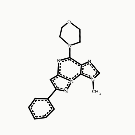 Cn1cnc2c(N3CCOCC3)nc3cc(-c4ccccc4)nn3c21